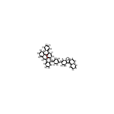 C1=CC2C=Cc3oc4cc(-c5ccc(N(c6ccc(-c7ccccc7)cc6)c6ccccc6-c6ccc7ccccc7c6)cc5)ccc4c3C2C=C1